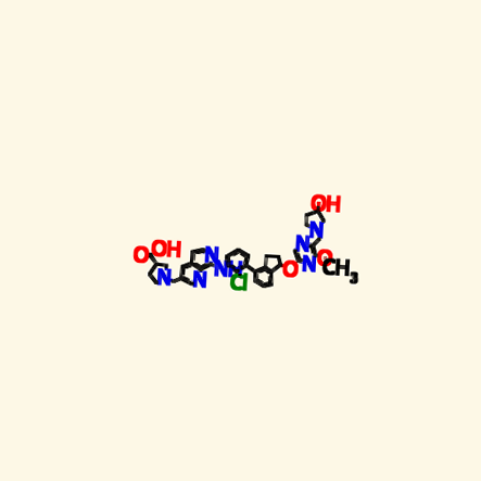 COc1nc(O[C@@H]2CCc3c(-c4cccc(Nc5nccc6cc(CN7CC[C@@H](C(=O)O)C7)cnc56)c4Cl)cccc32)cnc1CN1CC[C@@H](O)C1